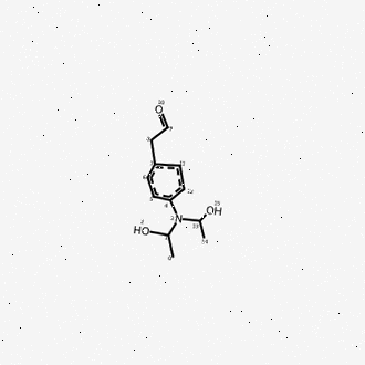 CC(O)N(c1ccc(CC=O)cc1)C(C)O